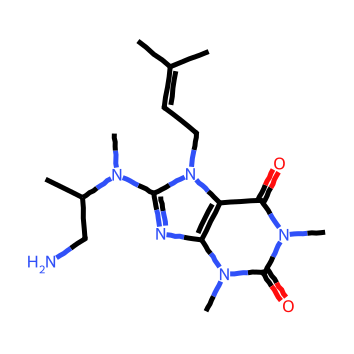 CC(C)=CCn1c(N(C)C(C)CN)nc2c1c(=O)n(C)c(=O)n2C